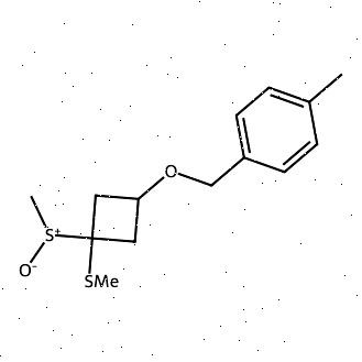 CSC1([S+](C)[O-])CC(OCc2ccc(C)cc2)C1